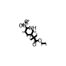 CCOC(=O)C(C)(C)C1CCC([N+](=O)[O-])NC1